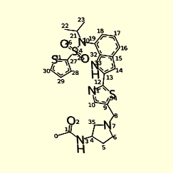 CC(=O)NC1CCN(Cc2cnc(-c3cc4cccc(N(C(C)C)S(=O)(=O)c5cccs5)c4[nH]3)s2)C1